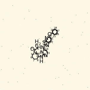 C=CC(=O)N1CCCCC(Nc2nccc(Nc3nc4ccc(Oc5ccccc5)nc4s3)n2)C1